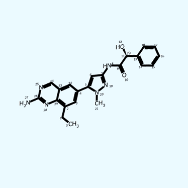 CCc1cc(-c2cc(NC(=O)[C@@H](O)c3ccccc3)nn2C)cc2cnc(N)nc12